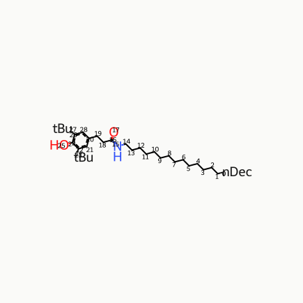 CCCCCCCCCCCCCCCCCCCCCCCCNC(=O)CCc1cc(C(C)(C)C)c(O)c(C(C)(C)C)c1